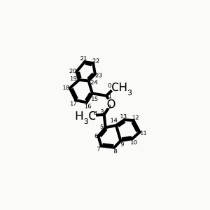 CC(OC(C)c1cccc2ccccc12)c1cccc2ccccc12